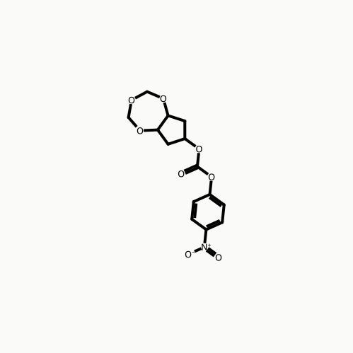 O=C(Oc1ccc([N+](=O)[O-])cc1)OC1CC2OCOCOC2C1